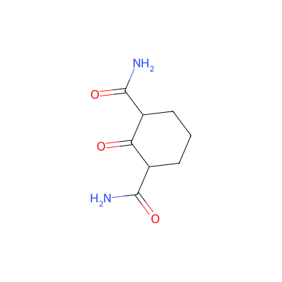 NC(=O)C1CCCC(C(N)=O)C1=O